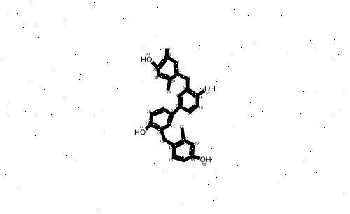 Cc1cc(Cc2cc(-c3ccc(O)c(Cc4ccc(O)cc4C)c3)ccc2O)c(C)cc1O